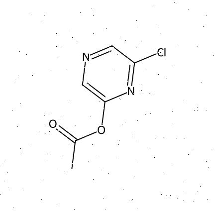 CC(=O)Oc1cncc(Cl)n1